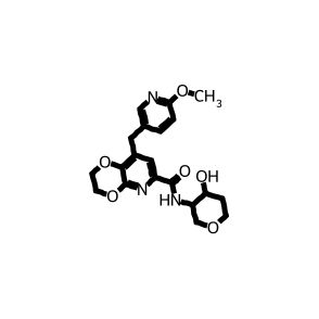 COc1ccc(Cc2cc(C(=O)NC3COCCC3O)nc3c2OCCO3)cn1